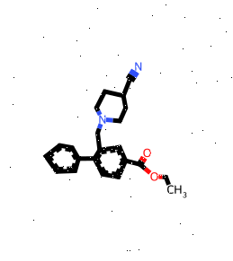 CCOC(=O)c1ccc(-c2ccccc2)c(CN2CCC(C#N)CC2)c1